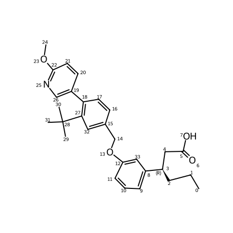 CCC[C@H](CC(=O)O)c1cccc(OCc2ccc(-c3ccc(OC)nc3)c(C(C)(C)C)c2)c1